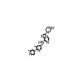 Cc1cc(-c2ncc(CNc3nccn4c(N5CCNCC5)cnc34)cc2C)ccn1